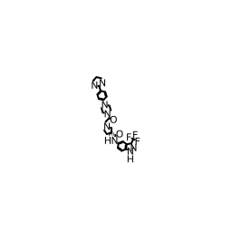 O=C(Nc1ccc2[nH]nc(C(F)(F)F)c2c1)[C@@H]1CCN(CC(=O)N2CCN(c3ccc(C4=NCCC=N4)cc3)CC2)C1